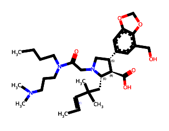 C/C=C/C(C)(C)C[C@H]1[C@H](C(=O)O)[C@@H](c2cc(CO)c3c(c2)OCO3)CN1CC(=O)N(CCCC)CCCN(C)C